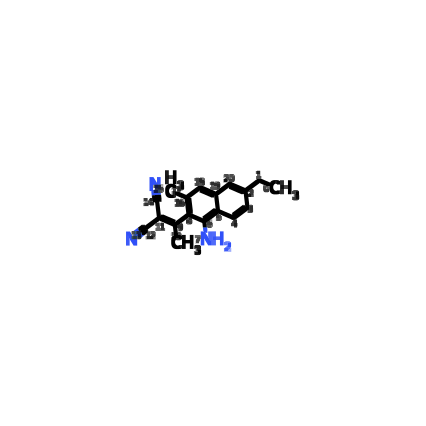 CCc1ccc2c(N)c(C(C)=C(C#N)C#N)c(C)cc2c1